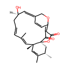 CC1=C[C@]2(C)/C=C(C)/C=C/C[C@@H](O)/C=C3C=C/C(=C4\C(=O)O[C@]2(C[C@@H]1C)C4=O)OC/3